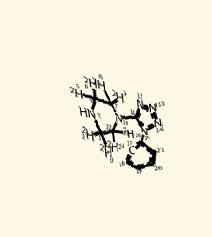 [2H]C1([2H])NC([2H])([2H])C([2H])([2H])N(c2nnnn2-c2ccccc2)C1([2H])[2H]